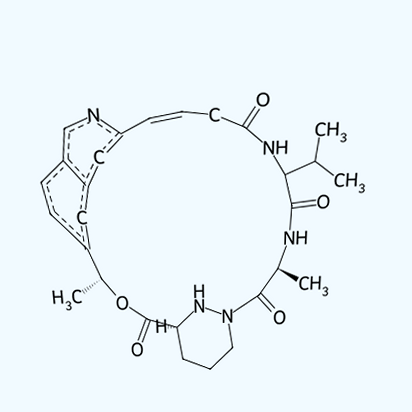 CC(C)C1NC(=O)C/C=C\c2cc3cc(ccc3cn2)[C@@H](C)OC(=O)[C@@H]2CCCN(N2)C(=O)[C@H](C)NC1=O